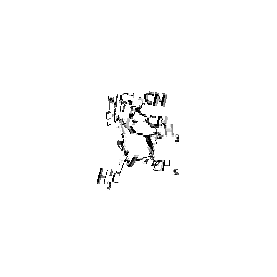 CC[N+]1(C(C#N)(C#N)C#N)CN(C)C(C)=C1C